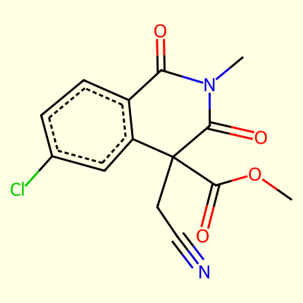 COC(=O)C1(CC#N)C(=O)N(C)C(=O)c2ccc(Cl)cc21